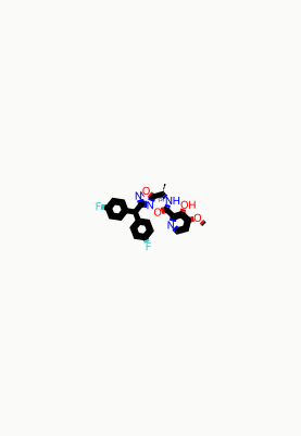 COc1ccnc(C(=O)N[C@@H](C)c2nc(C(c3ccc(F)cc3)c3ccc(F)cc3)no2)c1O